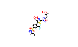 CC[C@@H](C)NS(=O)(=O)c1ccc(-c2sc(-c3noc(CC(C)(C)O)n3)nc2CO)c(C(F)F)c1F